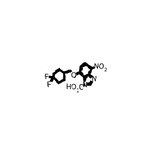 O=C(O)n1cnc2c([N+](=O)[O-])ccc(OCC3CCC(F)(F)CC3)c21